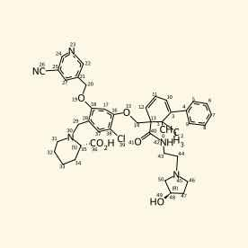 CC1(C)C(c2ccccc2)=CC=CC1(COc1cc(OCc2cncc(C#N)c2)c(CN2CCCC[C@H]2C(=O)O)cc1Cl)C(=O)NCCN1CC[C@@H](O)C1